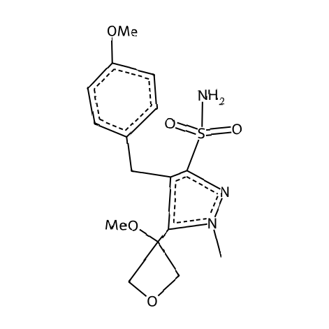 COc1ccc(Cc2c(S(N)(=O)=O)nn(C)c2C2(OC)COC2)cc1